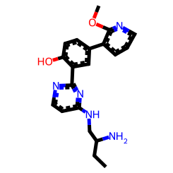 CCC(N)CNc1ccnc(-c2cc(-c3cccnc3OC)ccc2O)n1